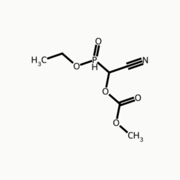 CCO[PH](=O)C(C#N)OC(=O)OC